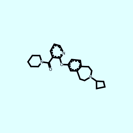 O=C(c1cccnc1Oc1ccc2c(c1)CCN(C1CCC1)CC2)N1CCCCC1